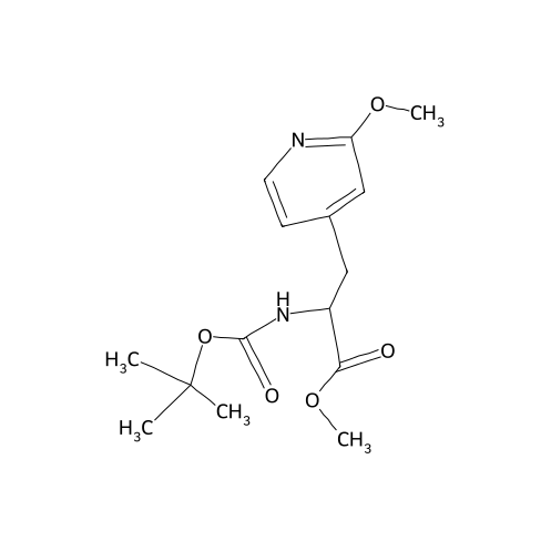 COC(=O)C(Cc1ccnc(OC)c1)NC(=O)OC(C)(C)C